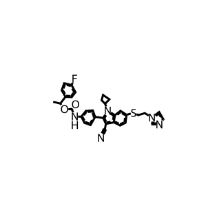 CC(OC(=O)Nc1ccc(-c2c(C#N)c3ccc(SCCn4ccnc4)cc3n2C2CCC2)cc1)c1ccc(F)cc1